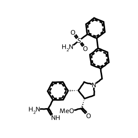 COC(=O)[C@H]1CN(Cc2ccc(-c3ccccc3S(N)(=O)=O)cc2)C[C@H]1c1cccc(C(=N)N)c1